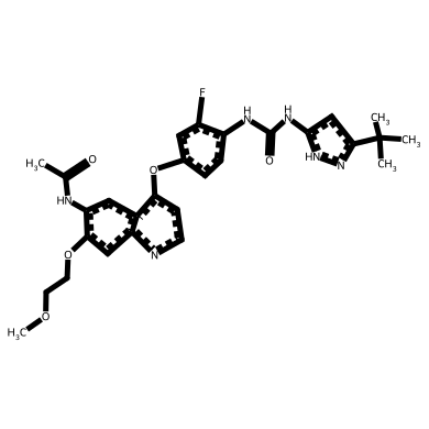 COCCOc1cc2nccc(Oc3ccc(NC(=O)Nc4cc(C(C)(C)C)n[nH]4)c(F)c3)c2cc1NC(C)=O